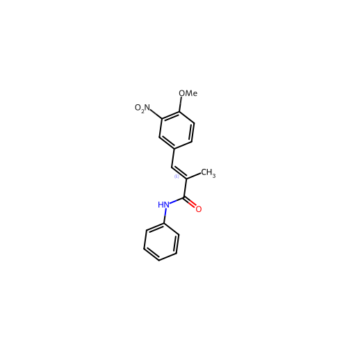 COc1ccc(/C=C(\C)C(=O)Nc2ccccc2)cc1[N+](=O)[O-]